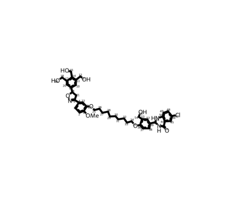 COc1ccc(C2=NOC(c3cc(CO)c(CO)c(CO)c3)C2)cc1OCCCCCCCCCCOc1ccc(C2NC(=O)c3cc(Cl)ccc3N2)cc1CO